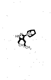 C=C/C=c1/c(N2CC3CCC(C2)O3)n[nH]/c1=C/C